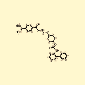 CC(C)(C)C(N)c1ccc(C(=O)CNCCN2CCC(OC(=O)Nc3ccccc3-c3ccccc3)CC2)cc1